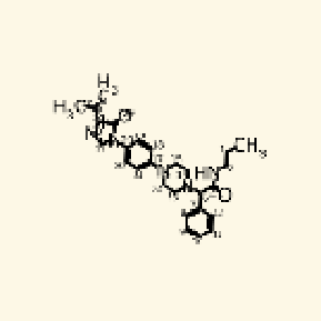 CCCNC(=O)C(c1ccccc1)N1CCN(c2ccc(-n3cnn(C(C)C)c3=O)cc2)CC1